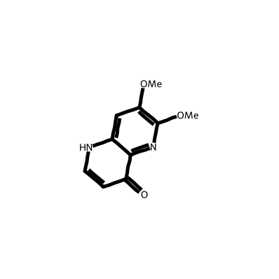 COc1cc2[nH]ccc(=O)c2nc1OC